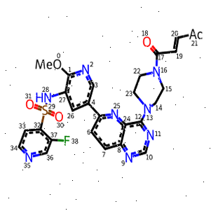 COc1ncc(-c2ccc3ncnc(N4CCN(C(=O)/C=C/C(C)=O)CC4)c3n2)cc1NS(=O)(=O)c1ccncc1F